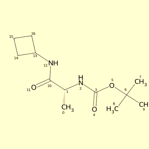 C[C@@H](NC(=O)OC(C)(C)C)C(=O)NC1CCC1